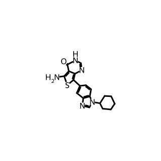 Nc1sc(-c2ccc3c(c2)ncn3C2CCCCC2)c2nc[nH]c(=O)c12